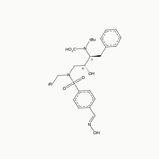 CC(C)CN(C[C@@H](O)[C@H](Cc1ccccc1)N(C(=O)O)C(C)(C)C)S(=O)(=O)c1ccc(C=NO)cc1